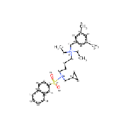 CC[N+](CC)(CCCCN(CC1CC1)S(=O)(=O)c1ccc2ccccc2c1)Cc1cc(C)cc(C)c1